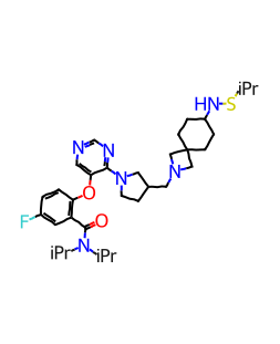 CC(C)SNC1CCC2(CC1)CN(CC1CCN(c3ncncc3Oc3ccc(F)cc3C(=O)N(C(C)C)C(C)C)C1)C2